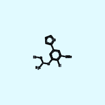 CCOC(C)Oc1cc(-c2ccco2)cc(OC)c1Cl